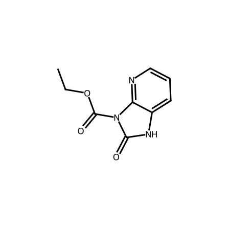 CCOC(=O)n1c(=O)[nH]c2cccnc21